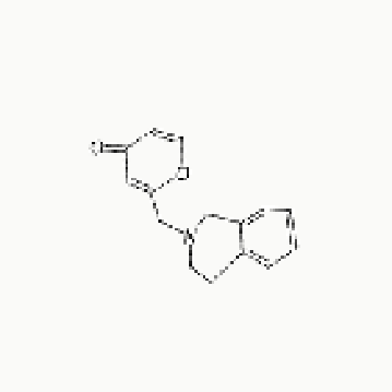 O=c1ccoc(CN2CCc3ccccc3C2)c1